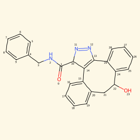 O=C(NCc1ccccc1)C1N=NC2=C1c1ccccc1CC(O)c1ccccc12